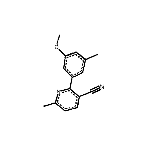 COc1cc(C)cc(-c2nc(C)ccc2C#N)c1